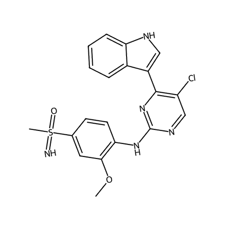 COc1cc(S(C)(=N)=O)ccc1Nc1ncc(Cl)c(-c2c[nH]c3ccccc23)n1